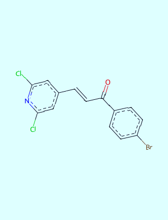 O=C(C=Cc1cc(Cl)nc(Cl)c1)c1ccc(Br)cc1